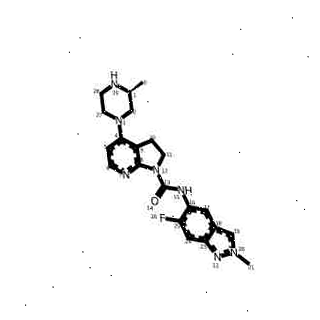 C[C@H]1CN(c2ccnc3c2CCN3C(=O)Nc2cc3cn(C)nc3cc2F)CCN1